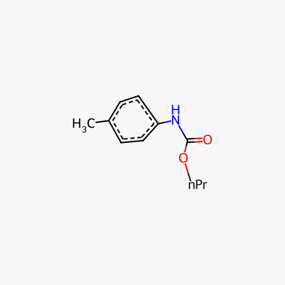 CCCOC(=O)Nc1ccc(C)cc1